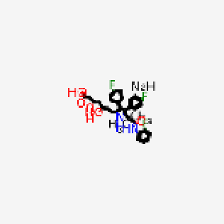 CC(C)(C(=O)Nc1ccccc1F)c1[nH]c(CC[C@@H](O)C[C@@H](O)CC(=O)O)c(-c2ccc(F)cc2)c1-c1ccc(F)cc1.[NaH]